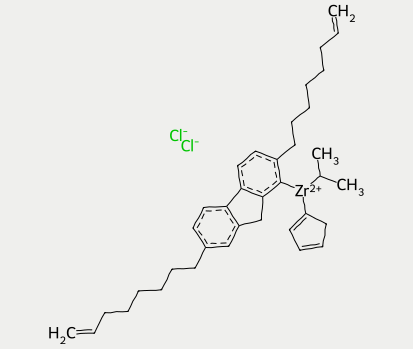 C=CCCCCCCc1ccc2c(c1)Cc1c-2ccc(CCCCCCC=C)[c]1[Zr+2]([C]1=CC=CC1)[CH](C)C.[Cl-].[Cl-]